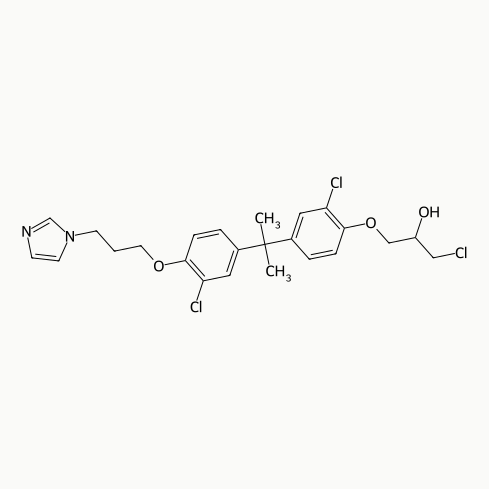 CC(C)(c1ccc(OCCCn2ccnc2)c(Cl)c1)c1ccc(OCC(O)CCl)c(Cl)c1